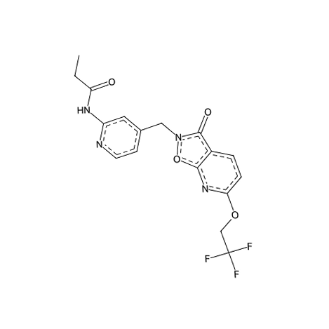 CCC(=O)Nc1cc(Cn2oc3nc(OCC(F)(F)F)ccc3c2=O)ccn1